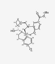 CC(C)(C)OC(=O)c1ccc2c(c1)N(C[C@@H]1CC[C@H]1CO)C[C@@]1(CCCc3cc(Cl)ccc31)CO2